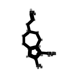 C=CCN1CCc2sc(N)c(C(=O)OCC)c2CC1